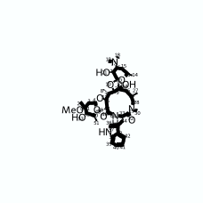 CO[C@]1(C)C[C@H](O[C@H]2[C@H](C)[C@@H](O[C@@H]3O[C@H](C)C[C@H](N(C)C)[C@H]3O)[C@](C)(O)C[C@@H](C)CN(C)C(=O)[C@H](Cc3c[nH]c4ccccc34)NC(=O)[C@@H]2C)O[C@@H](C)[C@@H]1O